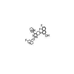 Oc1cc(N2CCc3c(nc(OC[C@@]45CCCN4CC(F)C5)nc3C3CC4CCC(C3)N4)C2)c2c(F)c(F)ccc2c1